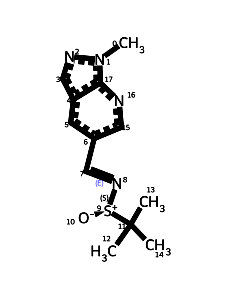 Cn1ncc2cc(/C=N/[S@+]([O-])C(C)(C)C)cnc21